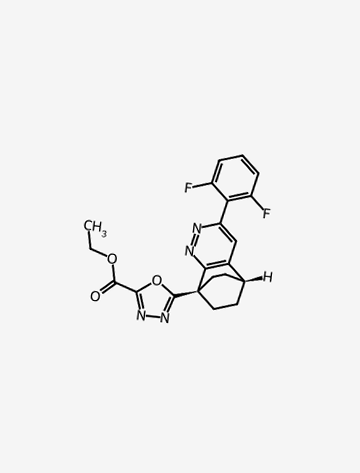 CCOC(=O)c1nnc([C@]23CC[C@H](CC2)c2cc(-c4c(F)cccc4F)nnc23)o1